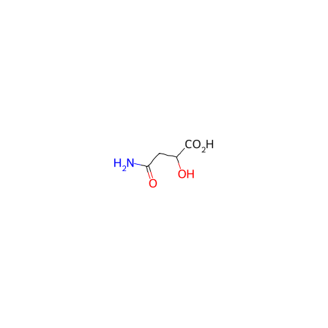 NC(=O)CC(O)C(=O)O